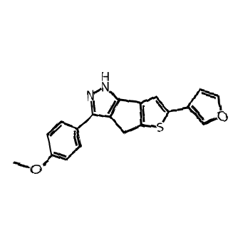 COc1ccc(-c2n[nH]c3c2Cc2sc(-c4ccoc4)cc2-3)cc1